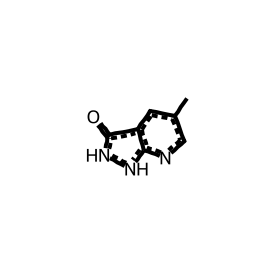 Cc1cnc2[nH][nH]c(=O)c2c1